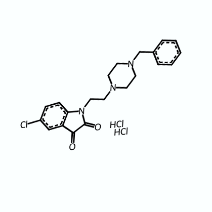 Cl.Cl.O=C1C(=O)N(CCN2CCN(Cc3ccccc3)CC2)c2ccc(Cl)cc21